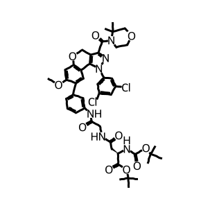 COc1cc2c(cc1-c1cccc(NC(=O)CNC(=O)C[C@@H](NC(=O)OC(C)(C)C)C(=O)OC(C)(C)C)c1)-c1c(c(C(=O)N3CCOCC3(C)C)nn1-c1cc(Cl)cc(Cl)c1)CO2